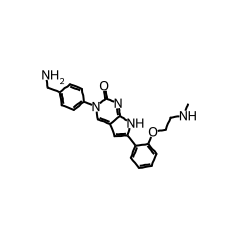 CNCCOc1ccccc1-c1cc2cn(-c3ccc(CN)cc3)c(=O)nc2[nH]1